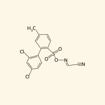 Cc1ccc(S(=O)(=O)ON=CC#N)c(-c2ccc(Cl)cc2Cl)c1